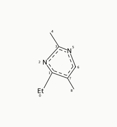 CCc1nc(C)ncc1C